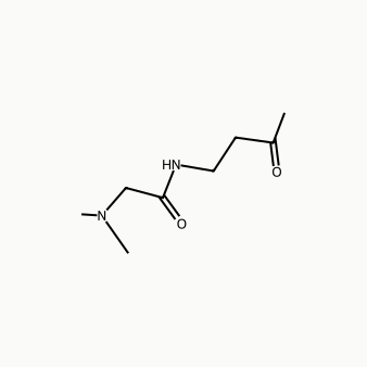 CC(=O)CCNC(=O)CN(C)C